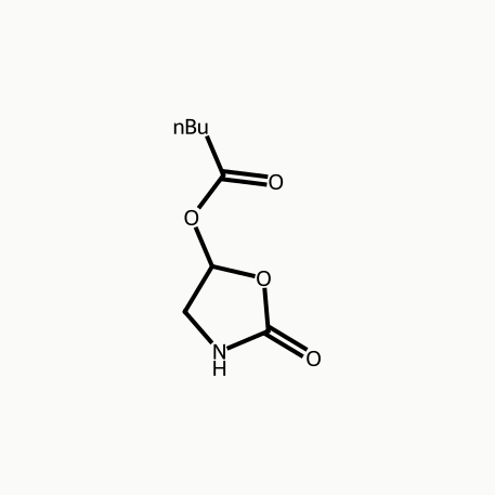 CCCCC(=O)OC1CNC(=O)O1